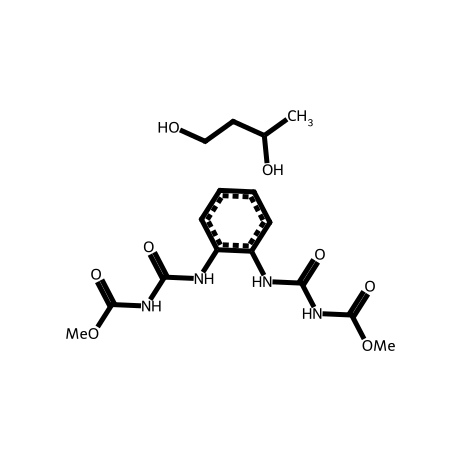 CC(O)CCO.COC(=O)NC(=O)Nc1ccccc1NC(=O)NC(=O)OC